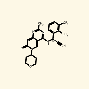 C#C[C@@H](Nc1nc(C)nc2cc(=O)n(C3CCOCC3)cc12)c1cccc(C(F)(F)F)c1C